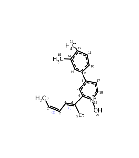 C/C=C\C=C(/CC)c1cc(-c2ccc(C)c(C)c2)cc[n+]1O